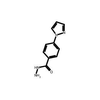 NNC(=O)c1ccc(-n2cccn2)cc1